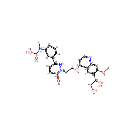 COc1cc2nccc(OCCn3nc(-c4cccc(N(C)C(=O)O)c4)ccc3=O)c2cc1C(O)CO